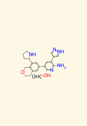 Nc1ncc(-c2cc3c(c(C4CCCN4)c2)COCC3)cc1-c1cn[nH]c1.O=CO